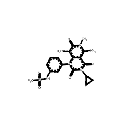 Cc1c(=O)n(C)c(N)c2c(=O)n(C3CC3)c(=O)n(-c3cccc(NS(C)(=O)=O)c3)c12